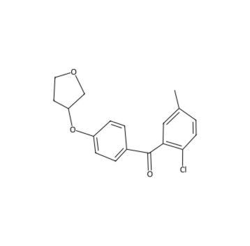 Cc1ccc(Cl)c(C(=O)c2ccc(OC3CCOC3)cc2)c1